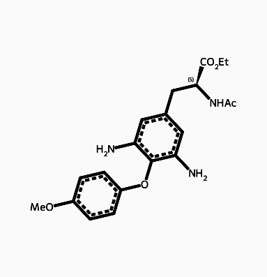 CCOC(=O)[C@H](Cc1cc(N)c(Oc2ccc(OC)cc2)c(N)c1)NC(C)=O